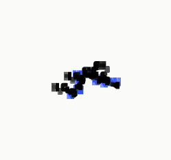 CCCc1cc(-n2cc(-c3ccc(NC(C)Cc4cc(-n5cc(-c6ncc(NCC7CC7)cc6C)cn5)cc(CCC)n4)c(C)n3)cn2)ccn1